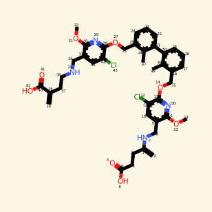 C=C(CCC(=O)O)NCc1cc(Cl)c(OCc2cccc(-c3cccc(COc4nc(OC)c(CNCCC(=C)C(=O)O)cc4Cl)c3C)c2C)nc1OC